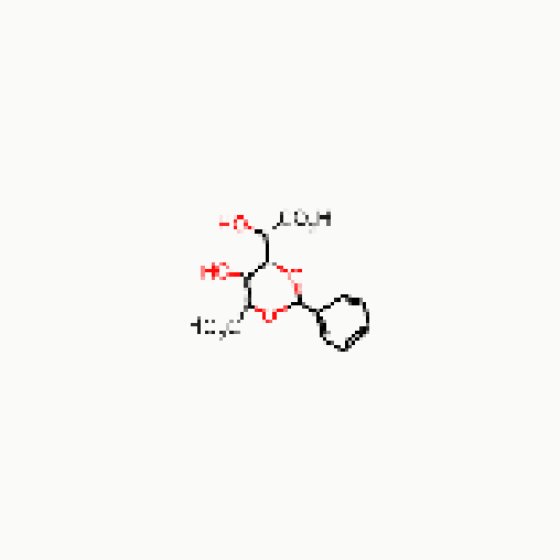 O=C(O)[C@@H](O)[C@H]1OC(c2ccccc2)O[C@@H](C(=O)O)[C@H]1O